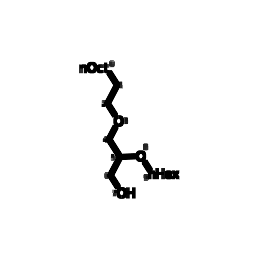 CCCCCCCCCCOCC(CO)OCCCCCC